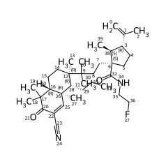 C=C(C)[C@@H]1CC[C@@](CCC(C)(C)[C@]2(C)CC[C@H]3C(C)(C)C(=O)C(C#N)=C[C@]3(C)[C@H]2CCC)(C(=O)NCCF)[C@H]1C